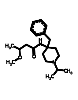 COC(C)CC(=O)NC1(Cc2ccccc2)CCN(C(C)C)CC1